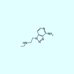 CCNCCn1nnc2c(N)nccc21